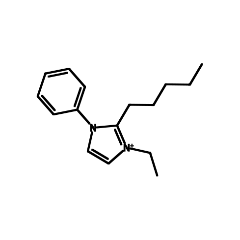 CCCCCc1n(-c2ccccc2)cc[n+]1CC